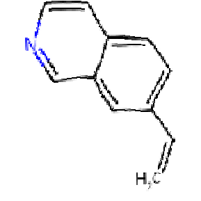 C=Cc1ccc2ccncc2c1